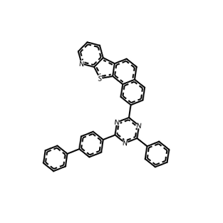 c1ccc(-c2ccc(-c3nc(-c4ccccc4)nc(-c4ccc5ccc6c7cccnc7sc6c5c4)n3)cc2)cc1